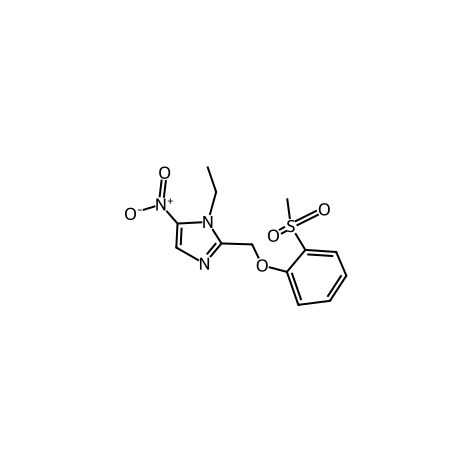 CCn1c([N+](=O)[O-])cnc1COc1ccccc1S(C)(=O)=O